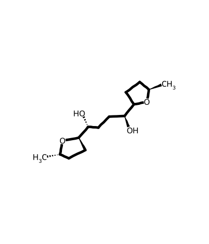 C[C@@H]1CCC([C@@H](O)CC[C@@H](O)[C@H]2CC[C@H](C)O2)O1